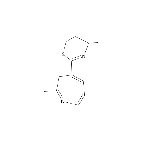 CC1=NC=CC=C(C2=NC(C)CCS2)C1